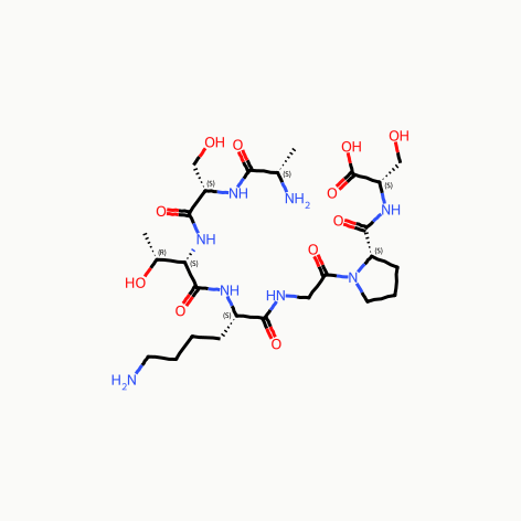 C[C@H](N)C(=O)N[C@@H](CO)C(=O)N[C@H](C(=O)N[C@@H](CCCCN)C(=O)NCC(=O)N1CCC[C@H]1C(=O)N[C@@H](CO)C(=O)O)[C@@H](C)O